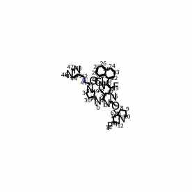 CN(c1nc(OC[C@@]23CCCN2C[C@H](F)C3)nc2c(F)c(-c3cccc4cccc(Cl)c34)ncc12)[C@@H]1CCN(C(=O)/C=C/c2cn(C)cn2)C1